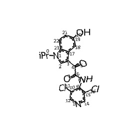 CC(C)n1cc(C(=O)C(=O)Nc2c(Cl)cncc2Cl)c2cc(O)ccc21